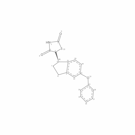 O=C1NC(=O)C([C@@H]2CCc3cc(Oc4ccccc4)ccc32)S1